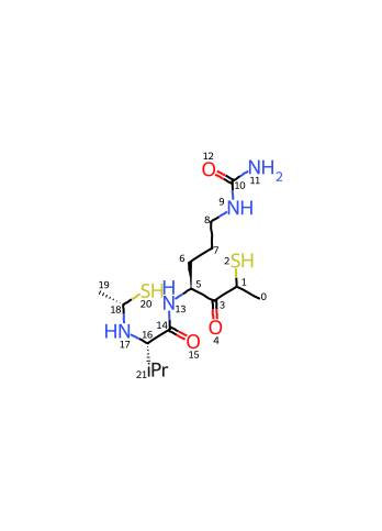 CC(S)C(=O)[C@H](CCCNC(N)=O)NC(=O)[C@@H](N[C@H](C)S)C(C)C